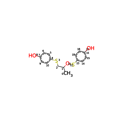 CC(CSc1ccc(O)cc1)OSc1ccc(O)cc1